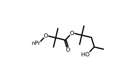 CCCOC(C)(C)C(=O)OC(C)(C)CC(C)O